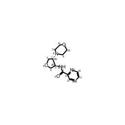 O=C(N[C@H]1COC[C@@H]1N1CCOCC1)c1cnccn1